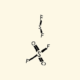 FSF.O=S(=O)(F)F